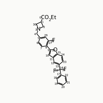 CCOC(=O)C1CN(Cc2ccc(-c3cc4cc(C(F)(F)c5ccccc5)ccc4o3)c(F)c2)C1